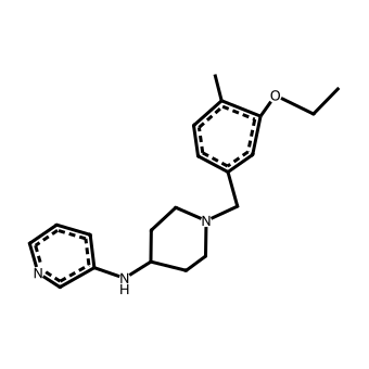 CCOc1cc(CN2CCC(Nc3cccnc3)CC2)ccc1C